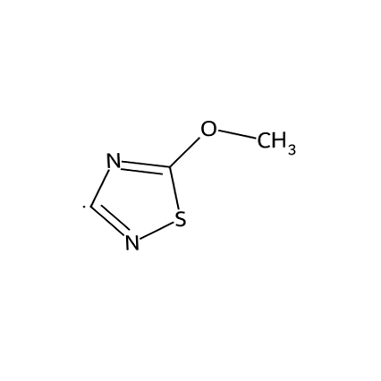 COc1n[c]ns1